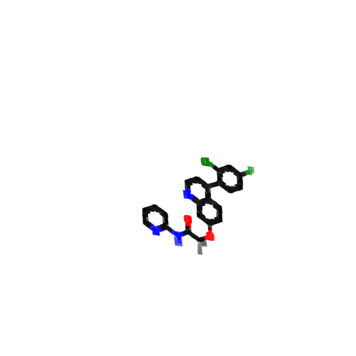 C[C@@H](Oc1ccc2c(-c3ccc(F)cc3Cl)ccnc2c1)C(=O)Nc1ccccn1